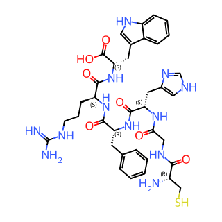 N=C(N)NCCC[C@H](NC(=O)[C@@H](Cc1ccccc1)NC(=O)[C@H](Cc1c[nH]cn1)NC(=O)CNC(=O)[C@@H](N)CS)C(=O)N[C@@H](Cc1c[nH]c2ccccc12)C(=O)O